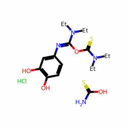 CCN(CC)C(=S)OC(=Nc1ccc(O)c(O)c1)N(CC)CC.Cl.NC(O)=S